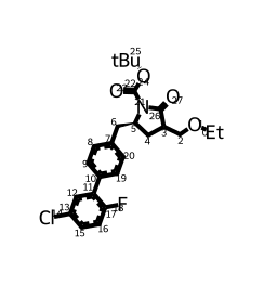 CCOCC1C[C@@H](Cc2ccc(-c3cc(Cl)ccc3F)cc2)N(C(=O)OC(C)(C)C)C1=O